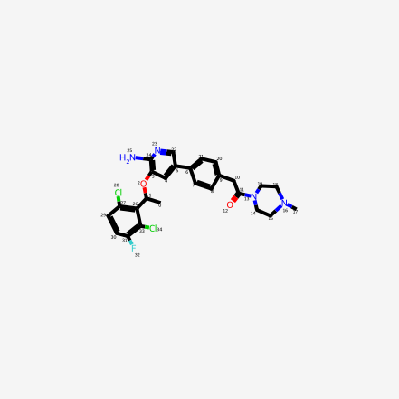 CC(Oc1cc(-c2ccc(CC(=O)N3CCN(C)CC3)cc2)cnc1N)c1c(Cl)ccc(F)c1Cl